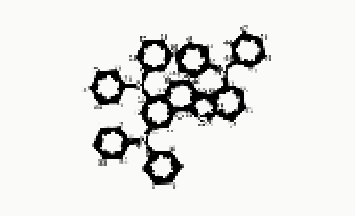 c1ccc(N(c2ccccc2)c2cc(N(c3ccccc3)c3ccccc3)c3ccc4c(sc5cccc(N(c6ccccc6)c6ccccc6)c54)c3c2)cc1